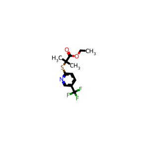 CCOC(=O)C(C)(C)Sc1ccc(C(F)(F)F)cn1